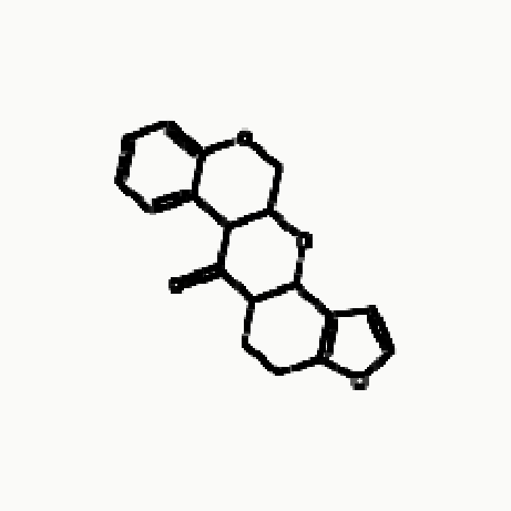 O=C1C2CCc3occc3C2OC2COc3ccccc3C12